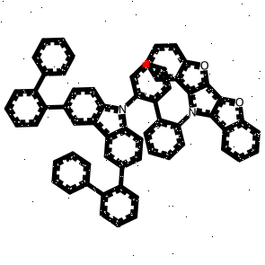 c1ccc(-c2ccccc2-c2ccc3c(c2)c2cc(-c4ccccc4-c4ccccc4)ccc2n3-c2ccccc2-c2ccccc2-n2c3c4ccccc4oc3c3oc4ccccc4c32)cc1